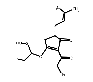 CC(C)=CC[C@H]1CC(OC(CC(C)C)SO)=C(C(=O)CC(C)C)C1=O